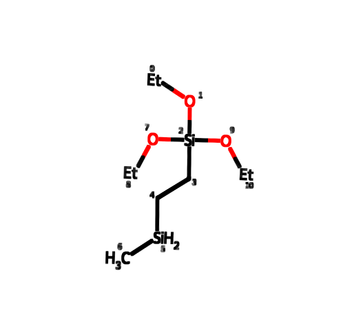 CCO[Si](CC[SiH2]C)(OCC)OCC